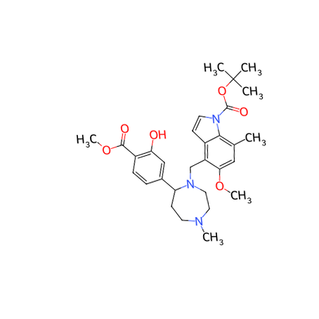 COC(=O)c1ccc(C2CCN(C)CCN2Cc2c(OC)cc(C)c3c2ccn3C(=O)OC(C)(C)C)cc1O